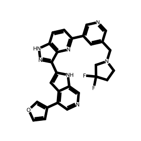 FC1(F)CCN(Cc2cncc(-c3ccc4[nH]nc(-c5cc6c(-c7ccoc7)cncc6[nH]5)c4n3)c2)C1